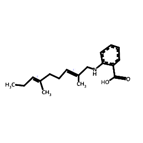 CC/C=C(\C)CC/C=C(\C)CNc1ccccc1C(=O)O